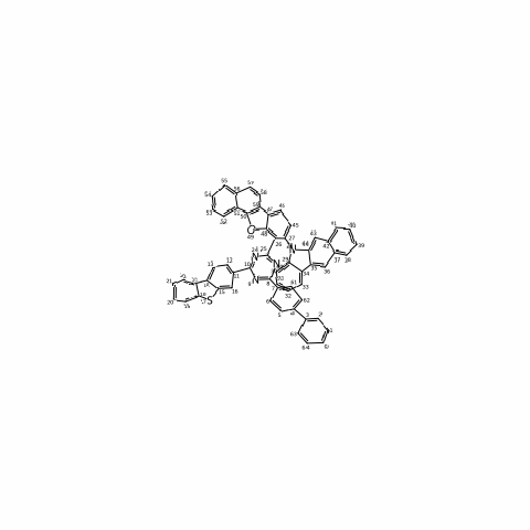 c1ccc(-c2ccc(-c3nc(-c4ccc5c(c4)sc4ccccc45)nc(-c4c(-n5c6ccccc6c6cc7ccccc7cc65)ccc5c4oc4c6ccccc6ccc54)n3)cc2)cc1